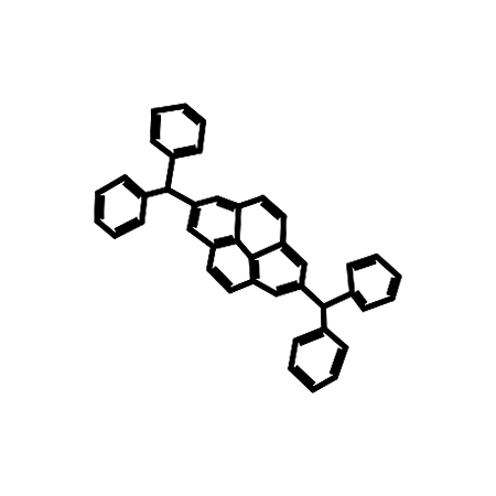 c1ccc(C(c2ccccc2)c2cc3ccc4cc(C(c5ccccc5)c5ccccc5)cc5ccc(c2)c3c45)cc1